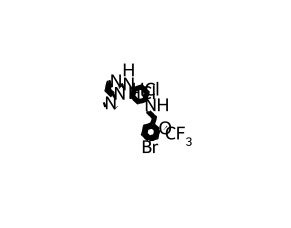 CN(C)c1ccnc(N[C@H]2CC[C@@H](NCCc3ccc(Br)cc3OC(F)(F)F)CC2)n1.Cl.Cl